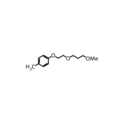 COCCCOCCOc1ccc(C)cc1